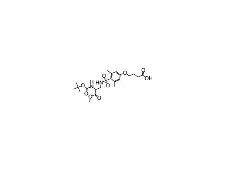 COC(=O)C(CNS(=O)(=O)c1c(C)cc(OCCCC(=O)O)cc1C)NC(=O)OC(C)(C)C